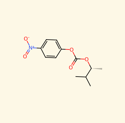 CC(C)[C@@H](C)OC(=O)Oc1ccc([N+](=O)[O-])cc1